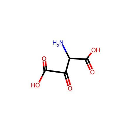 NC(C(=O)O)C(=O)C(=O)O